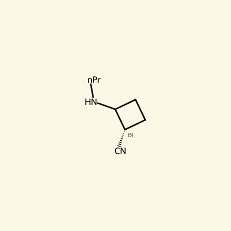 CCCNC1CC[C@@H]1C#N